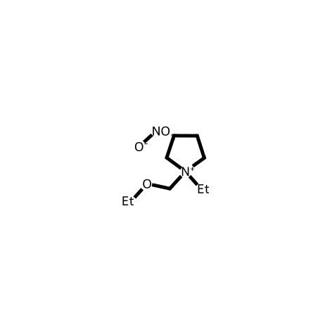 CCOC[N+]1(CC)CCCC1.O=[N+]([O-])[O-]